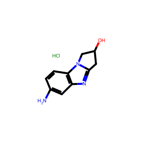 Cl.Nc1ccc2c(c1)nc1n2CC(O)C1